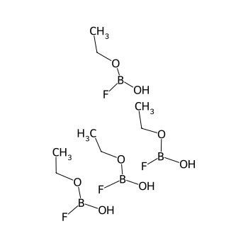 CCOB(O)F.CCOB(O)F.CCOB(O)F.CCOB(O)F